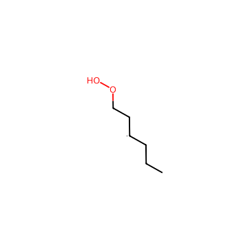 CCC[CH]CCOO